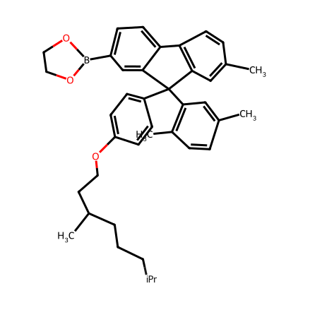 Cc1ccc(C)c(C2(c3ccc(OCCC(C)CCCC(C)C)cc3)c3cc(C)ccc3-c3ccc(B4OCCO4)cc32)c1